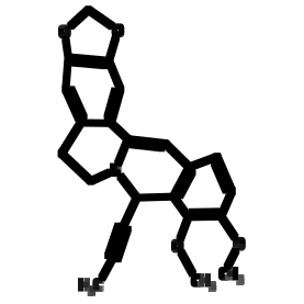 CC#CC1c2c(ccc(OC)c2OC)C=C2c3cc4c(cc3CCN21)OCO4